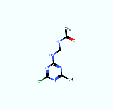 CC(=O)NCNc1nc(C)nc(Cl)n1